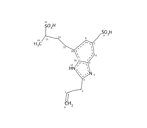 C=CCc1nc2cc(S(=O)(=O)O)cc(CCC(C)S(=O)(=O)O)c2[nH]1